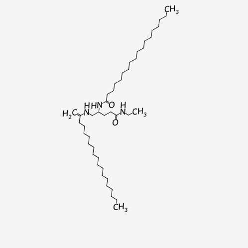 C=C(CCCCCCCCCCCCCCCCC)NCC(CCC(=O)NCC)NC(=O)CCCCCCCCCCCCCCCCC